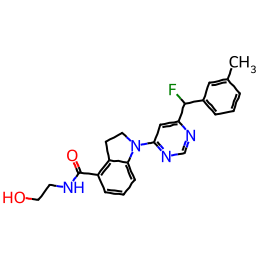 Cc1cccc(C(F)c2cc(N3CCc4c(C(=O)NCCO)cccc43)ncn2)c1